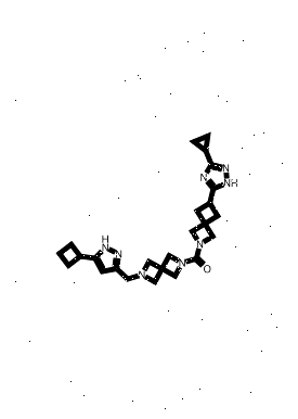 O=C(N1CC2(CC(c3nc(C4CC4)n[nH]3)C2)C1)N1CC2(CN(Cc3cc(C4CCC4)[nH]n3)C2)C1